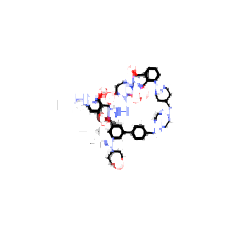 CCN(c1cc(-c2ccc(CN3CCN(CC4CCN(c5cccc6c5C(=O)N(N5CCC(=O)NC5=O)C6=O)CC4)CC3)cc2)cc(C(=O)NCc2c(C)cc(C)[nH]c2=O)c1C)C1CCOCC1